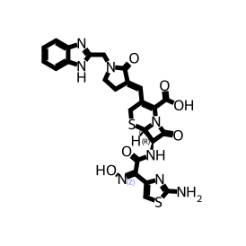 Nc1nc(/C(=N/O)C(=O)N[C@@H]2C(=O)N3C(C(=O)O)=C(C=C4CCN(Cc5nc6ccccc6[nH]5)C4=O)CS[C@H]23)cs1